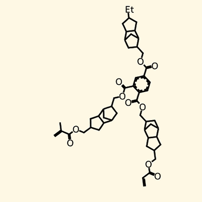 C=CC(=O)OCC1CC2C3CC(COC(=O)c4ccc(C(=O)OCC5CC6CC5C5CC(CC)CC65)cc4C(=O)OCC4CC5CC4C4CC(COC(=O)C(=C)C)CC54)C(C3)C2C1